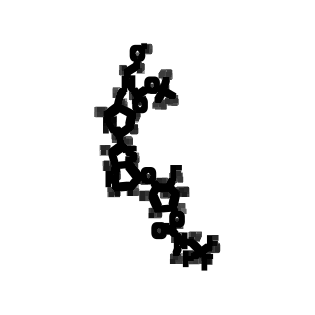 COCCN(Cc1ccc(-c2cc3nccc(Oc4ccc(OC(=O)N(C)CC(F)(F)F)cc4F)c3s2)nc1)C(=O)OC(C)(C)C